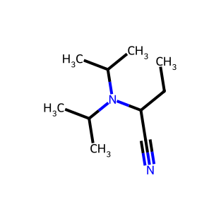 CCC(C#N)N(C(C)C)C(C)C